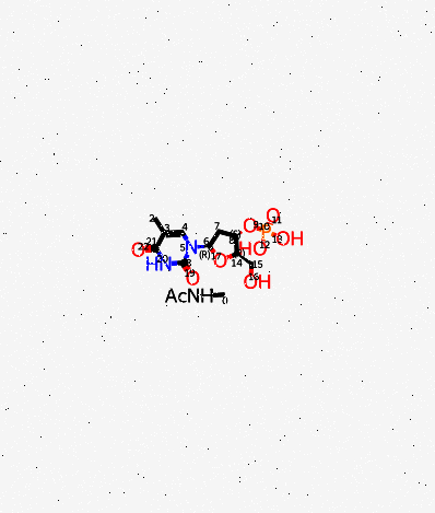 CNC(C)=O.Cc1cn([C@H]2C[C@H](OP(=O)(O)O)[C@@H](CO)O2)c(=O)[nH]c1=O